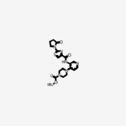 CC(C)(C)OC(=O)N1CCN(c2ccncc2NC(=O)c2csc(N3CCCC3=O)n2)CC1